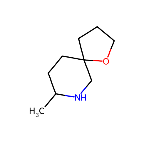 CC1CCC2(CCCO2)CN1